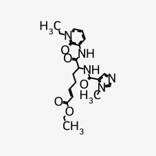 CCOC(=O)/C=C/CCC(NC(=O)c1cncn1C)C(=O)Nc1cccn(CC)c1=O